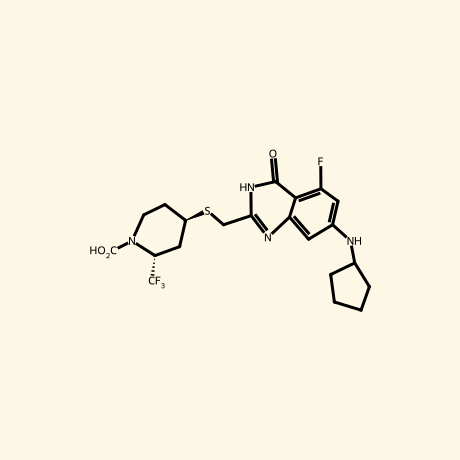 O=C(O)N1CC[C@@H](SCc2nc3cc(NC4CCCC4)cc(F)c3c(=O)[nH]2)C[C@@H]1C(F)(F)F